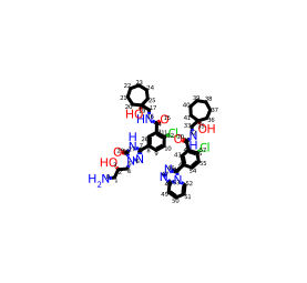 NCC(O)Cn1nc(-c2ccc(Cl)c(C(=O)NCC3(O)CCCCCC3)c2)[nH]c1=O.O=C(NCC1(O)CCCCCC1)c1cc(-c2nnc3ccccn23)ccc1Cl